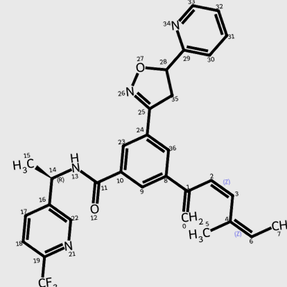 C=C(/C=C\C(C)=C/C)c1cc(C(=O)N[C@H](C)c2ccc(C(F)(F)F)nc2)cc(C2=NOC(c3ccccn3)C2)c1